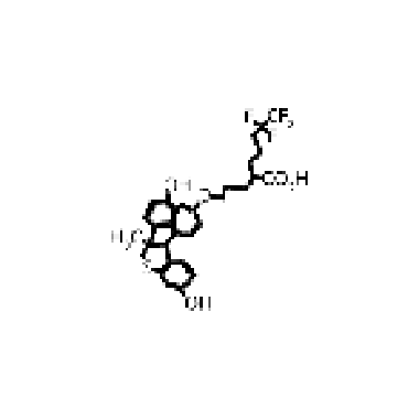 CC1(c2ccc(O)cc2)CSc2cc(O)ccc2C1c1ccc(OCCCC(CCCC(F)(F)C(F)(F)F)C(=O)O)cc1